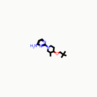 CC1CN(c2nccc(N)n2)CCC1OCC(C)(C)C